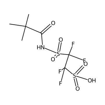 CC(C)(C)C(=O)NS(=O)(=O)C(F)(F)C(F)(F)S(=O)(=O)O